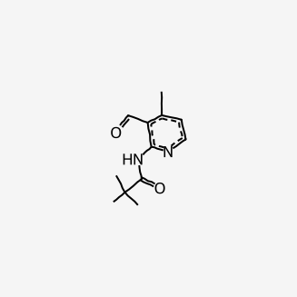 Cc1ccnc(NC(=O)C(C)(C)C)c1C=O